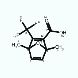 CC12C=CC(C)(O1)C(C(F)(F)F)=C2C(=O)O